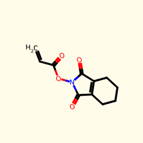 C=CC(=O)ON1C(=O)C2=C(CCCC2)C1=O